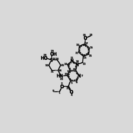 CCOC(=O)c1cnc2c(cnn2Cc2ccc(OC)cc2)c1NC1CCS(O)(O)CC1